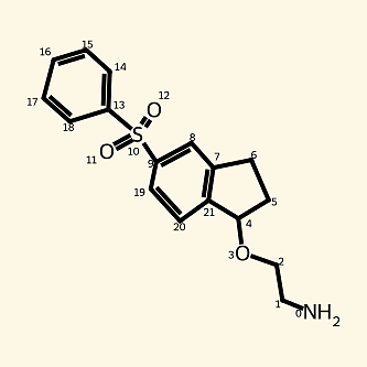 NCCOC1CCc2cc(S(=O)(=O)c3ccccc3)ccc21